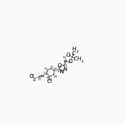 CC1(C)OC[C@H](c2nnc(-c3ccc(C#CC=O)c(Cl)c3)o2)O1